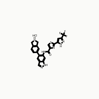 Cl.O=C(Nc1cc2[nH]ncc2cc1-c1ccc2c(c1)CNC2)c1csc(-c2cc(C(F)(F)F)n[nH]2)n1